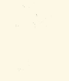 COC(=O)CC1CC(Cc2ccc(CO[C@H](C)[C@H](CCC(N)=O)NC(=O)OC(C)(C)C)cc2)C1